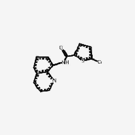 O=C(Nc1cccc2cccnc12)c1ccc(Cl)s1